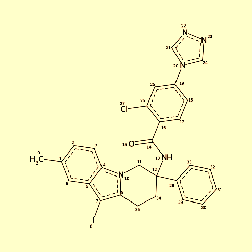 Cc1ccc2c(c1)c(I)c1n2CC(NC(=O)c2ccc(-n3cnnc3)cc2Cl)(c2ccccc2)CC1